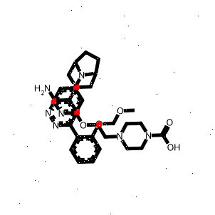 COCOc1ccccc1-c1cc(N2CC3CCC(C2)N3c2ccnc(OCCN3CCN(C(=O)O)CC3)c2)c(N)nn1